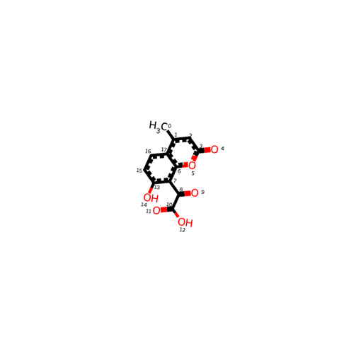 Cc1cc(=O)oc2c(C(=O)C(=O)O)c(O)ccc12